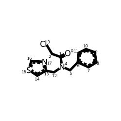 O=C(CCl)N(Cc1ccccc1)Cc1cscn1